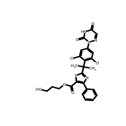 CC(C)(c1nc(-c2ccccc2)c(C(=O)OCCCO)s1)c1c(Cl)cc(-n2ncc(=O)[nH]c2=O)cc1Cl